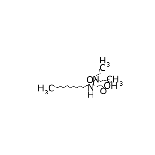 CCCCCCCCCCCCN[C@@H](CCC(=O)O)C(=O)N(CCCC)CCCC